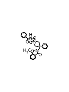 COc1ccccc1C(=O)NCC1(c2ccccc2)CCN(S(=O)(=O)NC(=O)c2ccccc2)CC1